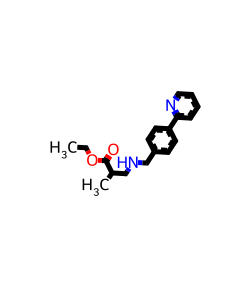 CCOC(=O)C(C)CNCc1ccc(-c2ccccn2)cc1